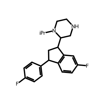 CC(C)N1CCNCC1C1CC(c2ccc(F)cc2)c2ccc(F)cc21